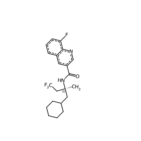 C[C@](CC1CCCCC1)(CC(F)(F)F)NC(=O)c1cnc2c(F)cccc2c1